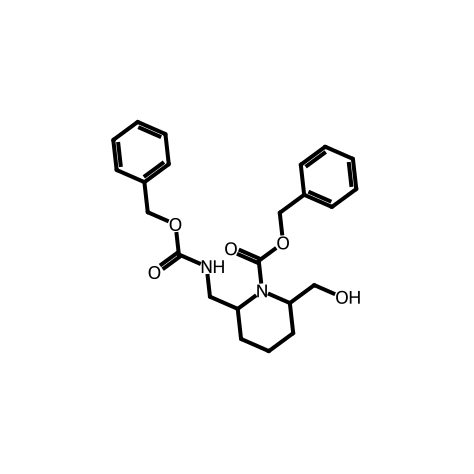 O=C(NCC1CCCC(CO)N1C(=O)OCc1ccccc1)OCc1ccccc1